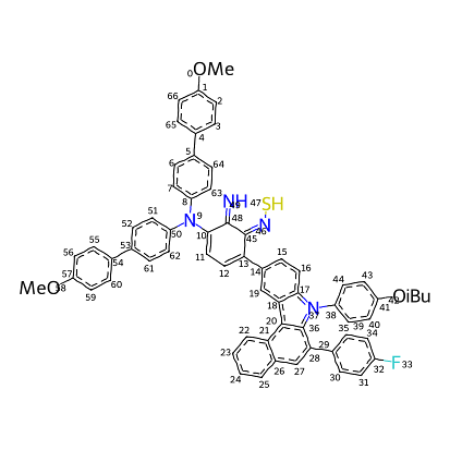 COc1ccc(-c2ccc(N(C3=CC=C(c4ccc5c(c4)c4c6ccccc6cc(-c6ccc(F)cc6)c4n5-c4ccc(OCC(C)C)cc4)/C(=N/S)C3=N)c3ccc(-c4ccc(OC)cc4)cc3)cc2)cc1